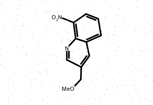 COCc1cnc2c([N+](=O)[O-])cccc2c1